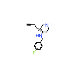 C#CCC[C@@H]1CNCC[C@H]1NCc1ccc(F)cc1